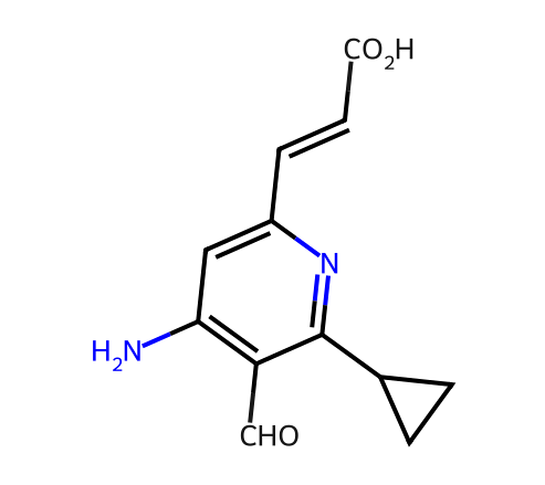 Nc1cc(C=CC(=O)O)nc(C2CC2)c1C=O